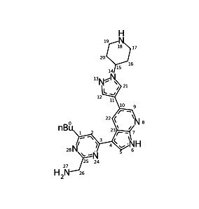 CCCCc1cc(-c2c[nH]c3ncc(-c4cnn(C5CCNCC5)c4)cc23)nc(CN)n1